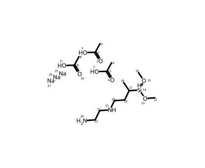 CC(=O)O.CC(=O)O.CC(=O)O.CO[SiH](OC)C(C)CCNCCN.[Na].[Na].[Na]